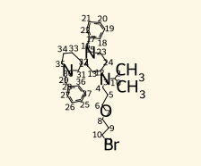 CC(C)N(CCCOCCCBr)C1CCN(Cc2ccccc2)CC1.c1ccc(CN2CCCCC2)cc1